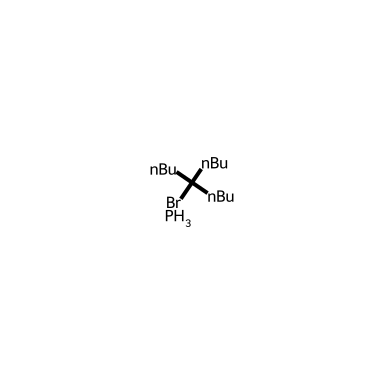 CCCCC(Br)(CCCC)CCCC.P